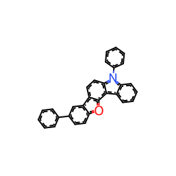 c1ccc(-c2ccc3oc4c(ccc5c4c4ccccc4n5-c4ccccc4)c3c2)cc1